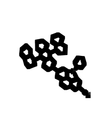 N#Cc1cc2ccc3cc(-c4ccc5c(-c6cccc7ccccc67)c6ccccc6c(-c6cccc7ccccc67)c5c4)cc4c3c2c(c1)n4-c1ccccc1